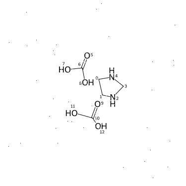 C1CNCN1.O=C(O)O.O=C(O)O